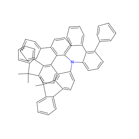 CC1(C)c2ccccc2-c2ccc(N(c3cccc(-c4ccccc4)c3-c3ccccc3)c3cccc(-c4ccccc4)c3-c3cccc4c3-c3ccccc3C4(C)C)cc21